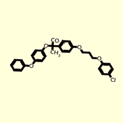 CC(Oc1ccc(Oc2ccccc2)cc1)(C(=O)O)c1ccc(OCCCOc2ccc(Cl)cc2)cc1